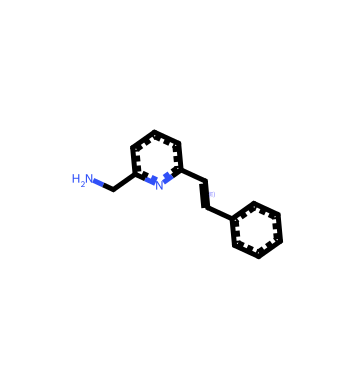 NCc1cccc(/C=C/c2ccccc2)n1